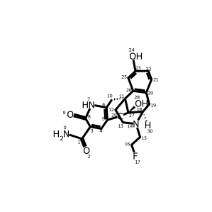 NC(=O)c1cc2c([nH]c1=O)C[C@]13CCN(CCF)[C@H](Cc4ccc(O)cc41)[C@]3(O)C2